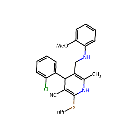 CCCSC1=C(C#N)C(c2ccccc2Cl)C(CNc2ccccc2OC)=C(C)N1